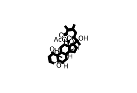 CC(=O)OC[C@]12CC[C@H]3[C@@H](C[C@H]4O[C@]45CC=CC(=O)[C@]35C)[C@]1(O)CC[C@@]2(O)C(C)(O)C1CC(C)=C(C)C(=O)O1